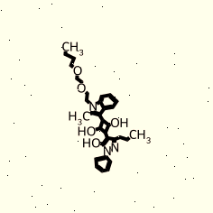 CCCCOCCOCCn1c(C)c(C2C(O)C(c3c(CCC)nn(-c4ccccc4)c3O)C2O)c2ccccc21